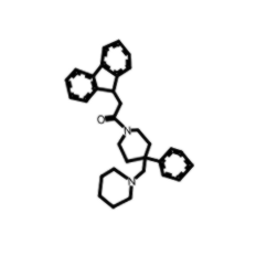 O=C(CC1c2ccccc2-c2ccccc21)N1CCC(CN2CCCCC2)(c2ccccc2)CC1